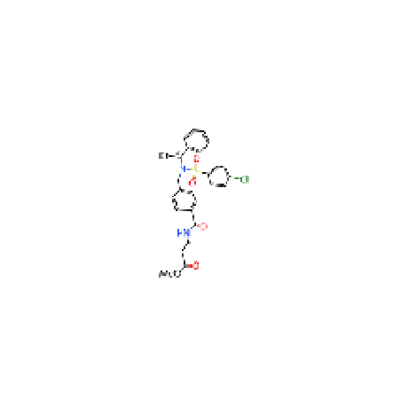 CC[C@@H](c1ccccc1)N(Cc1ccc(C(=O)NCCC(=O)OC)cc1)S(=O)(=O)c1ccc(Cl)cc1